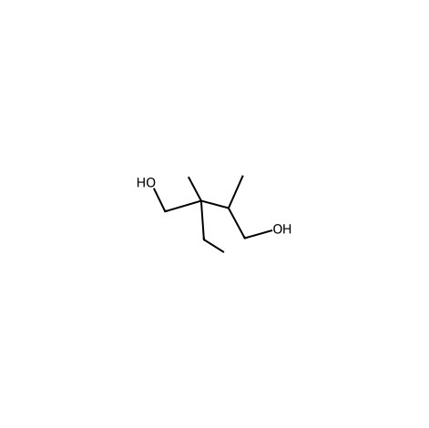 CCC(C)(CO)C(C)CO